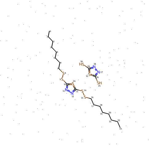 CCCCCCCCSSc1nnc(SSCCCCCCCC)s1.Sc1nnc(S)s1